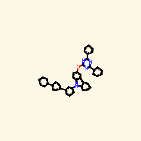 c1ccc(-c2ccc(-c3cccc(-n4c5ccccc5c5cc(Oc6nc(-c7ccccc7)nc(-c7ccccc7)n6)ccc54)c3)cc2)cc1